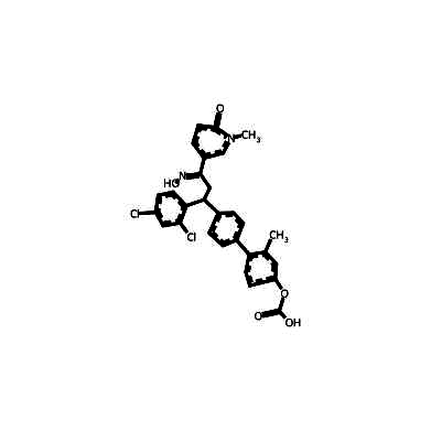 Cc1cc(OC(=O)O)ccc1-c1ccc(C(C/C(=N\O)c2ccc(=O)n(C)c2)c2ccc(Cl)cc2Cl)cc1